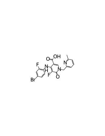 Cc1cccc(Cn2cc(C(=O)O)c(Nc3ccc(Br)cc3F)c(F)c2=O)n1